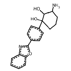 NC1CCCC(O)(c2ccc(-c3nc4ccccc4o3)cc2)C1O